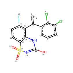 C=C(c1cccc(Cl)c1Cl)c1c(F)ccc2c1NC(O)=NS2(=O)=O